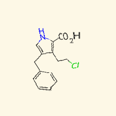 O=C(O)c1[nH]cc(Cc2ccccc2)c1CCCl